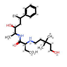 CCC(CC(O)C(C)NC(=O)[C@H](CC(=O)O)NCCC(C)(C)CCO)c1ccccc1